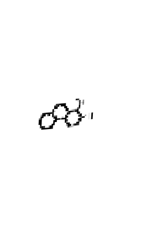 [2H]c1ccc2c(ccc3ccccc32)c1[2H]